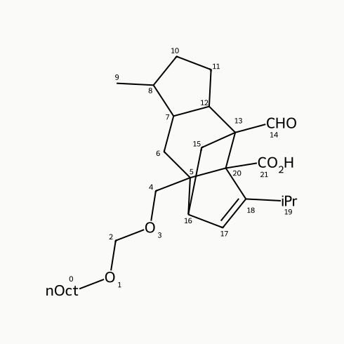 CCCCCCCCOCOCC12CC3C(C)CCC3C3(C=O)CC1C=C(C(C)C)C32C(=O)O